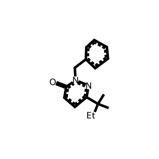 CCC(C)(C)c1ccc(=O)n(Cc2ccccc2)n1